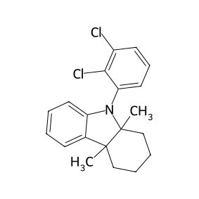 CC12CCCCC1(C)N(c1cccc(Cl)c1Cl)c1ccccc12